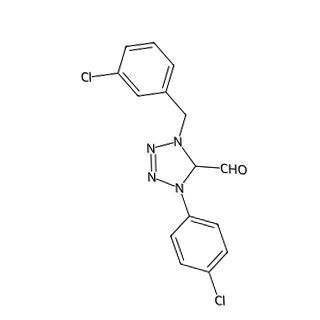 O=CC1N(Cc2cccc(Cl)c2)N=NN1c1ccc(Cl)cc1